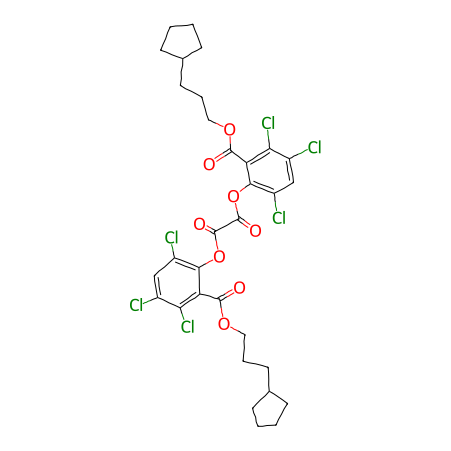 O=C(Oc1c(Cl)cc(Cl)c(Cl)c1C(=O)OCCCC1CCCC1)C(=O)Oc1c(Cl)cc(Cl)c(Cl)c1C(=O)OCCCC1CCCC1